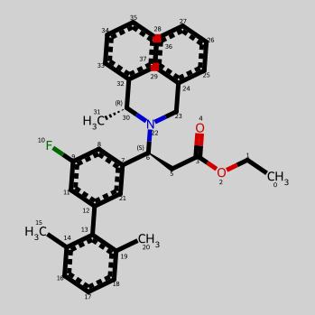 CCOC(=O)C[C@@H](c1cc(F)cc(-c2c(C)cccc2C)c1)N(Cc1ccccc1)[C@H](C)c1ccccc1